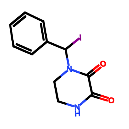 O=C1NCCN(C(I)c2ccccc2)C1=O